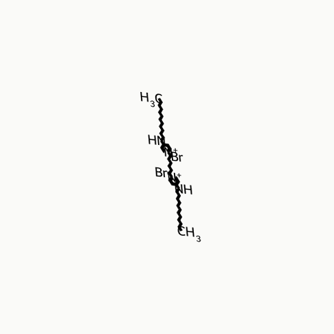 CCCCCCCCCCCCNc1cc[n+](C(Br)CCCCC(Br)[n+]2ccc(NCCCCCCCCCCCC)cc2)cc1